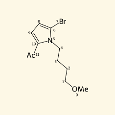 COCCCCn1c(Br)ccc1C(C)=O